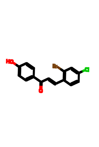 O=C(C=Cc1ccc(Cl)cc1Br)c1ccc(O)cc1